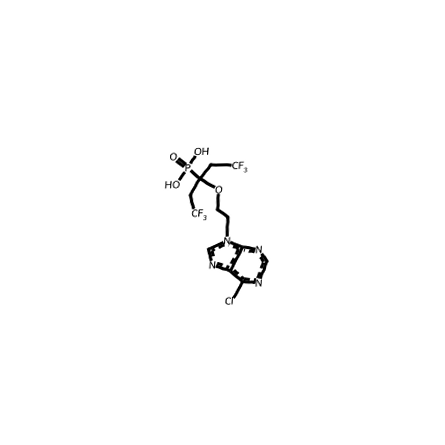 O=P(O)(O)C(CC(F)(F)F)(CC(F)(F)F)OCCn1cnc2c(Cl)ncnc21